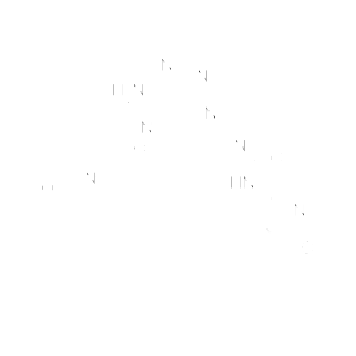 Nc1ncnc(N2CCN(C(=O)Nc3ccc(OC4CCC4)nc3)CC2)c1/C=N/OCCN1CCOCC1